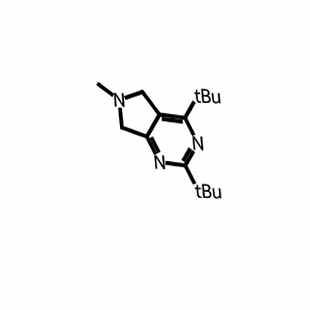 CN1Cc2nc(C(C)(C)C)nc(C(C)(C)C)c2C1